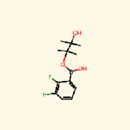 CC(C)(O)C(C)(C)OB(O)c1cccc(F)c1F